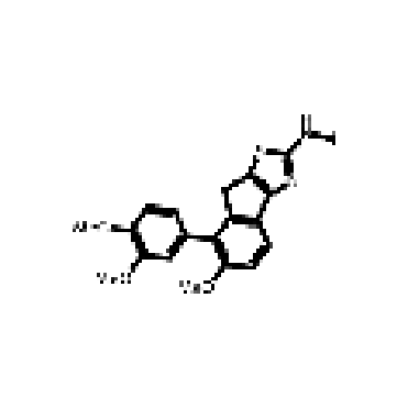 COc1ccc(-c2c(OC)ccc3c2Cc2sc(NI)nc2-3)cc1OC